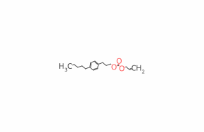 C=CCOC(=O)OCCCc1ccc(CCCCC)cc1